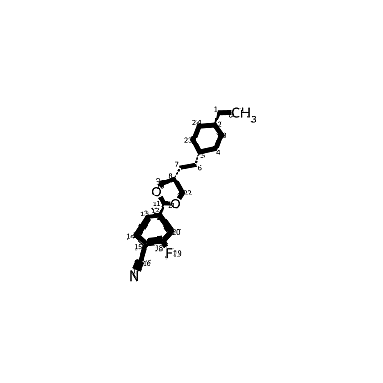 CC[C@H]1CC[C@H](CC[C@H]2CO[C@H](c3ccc(C#N)c(F)c3)OC2)CC1